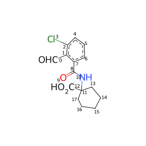 O=Cc1c(Cl)cccc1C(=O)NC1(C(=O)O)CCCCC1